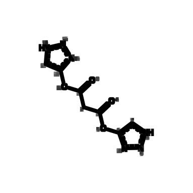 O=C(CC(=O)Oc1c[nH]nn1)Oc1c[nH]nn1